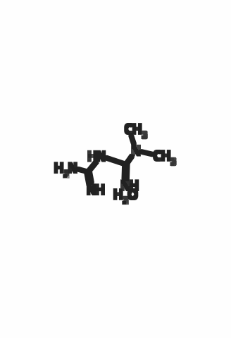 CN(C)C(=N)NC(=N)N.O